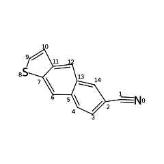 N#Cc1ccc2cc3sccc3cc2c1